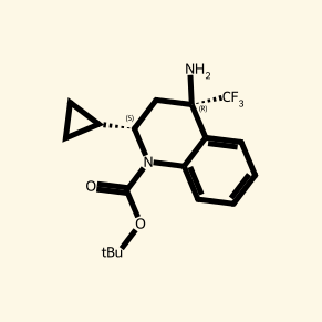 CC(C)(C)OC(=O)N1c2ccccc2[C@@](N)(C(F)(F)F)C[C@H]1C1CC1